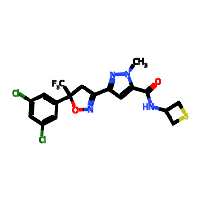 Cn1nc(C2=NOC(c3cc(Cl)cc(Cl)c3)(C(F)(F)F)C2)cc1C(=O)NC1CSC1